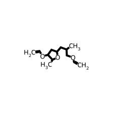 C=COCC(C)CC1CC(OC=C)C(C)O1